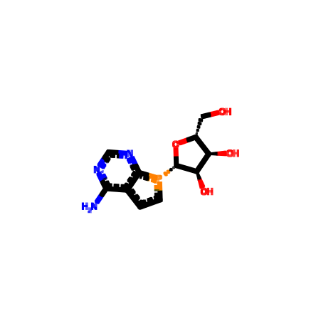 Nc1ncnc2c1ccp2[C@@H]1O[C@H](CO)[C@@H](O)[C@H]1O